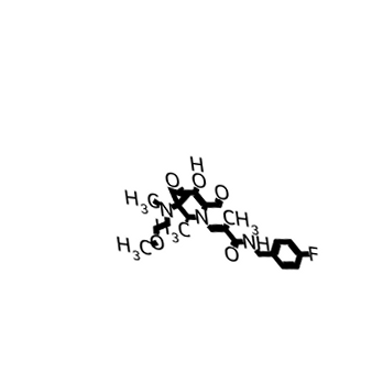 COCCN(C)C1([C@H](C)N(/C=C(\C)C(=O)NCc2ccc(F)cc2)/C(C=O)=C(/O)C=O)CC1